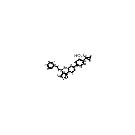 Cc1noc(-c2ccc(-c3ccc(C4(C(=O)O)CC4)cc3)cc2)c1C(=O)CCc1ccccc1